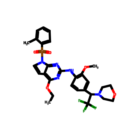 CCOc1nc(Nc2ccc(C(N3CCOCC3)C(F)(F)F)cc2OC)nc2c1ccn2S(=O)(=O)c1ccccc1C